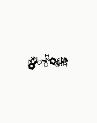 O=C(COc1nnnc2ccccc12)Nc1ccc(S(=O)(=O)Nc2nccs2)cc1